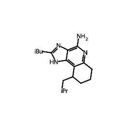 CCC(C)c1nc2c(N)nc3c(c2[nH]1)C(CC(C)C)CCC3